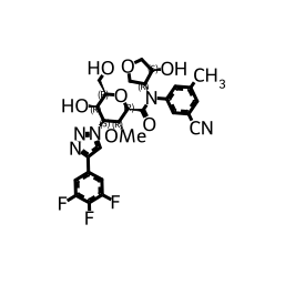 CO[C@@H]1[C@@H](n2cc(-c3cc(F)c(F)c(F)c3)nn2)[C@@H](O)[C@@H](CO)O[C@H]1C(=O)N(c1cc(C)cc(C#N)c1)[C@@H]1COC[C@H]1O